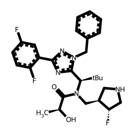 C[C@H](O)C(=O)N(C[C@H]1CNC[C@@H]1F)[C@@H](c1nc(-c2cc(F)ccc2F)nn1Cc1ccccc1)C(C)(C)C